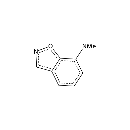 CNc1cccc2cnoc12